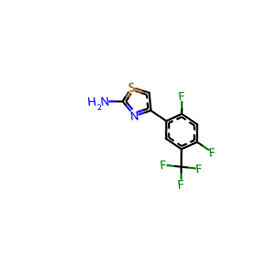 Nc1nc(-c2cc(C(F)(F)F)c(F)cc2F)cs1